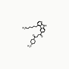 CN1CCN(C(=O)CCC(=O)c2ccc3[nH]c4nccc(CCCCCN)c4c3c2)CC1